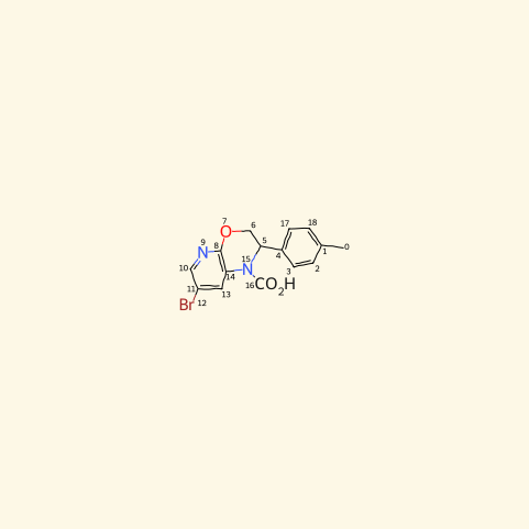 Cc1ccc(C2COc3ncc(Br)cc3N2C(=O)O)cc1